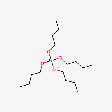 CCCCO[Se](OCCCC)(OCCCC)OCCCC